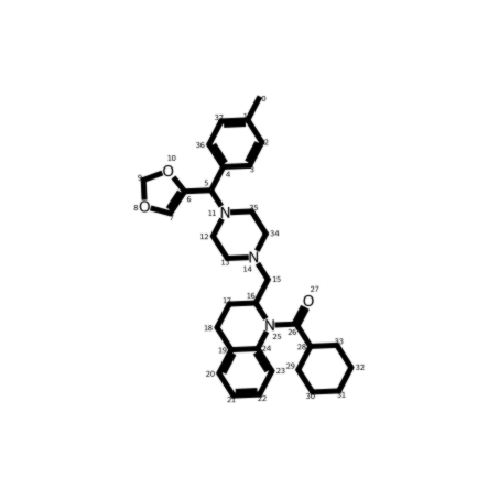 Cc1ccc(C(C2=COCO2)N2CCN(CC3CCc4ccccc4N3C(=O)C3CCCCC3)CC2)cc1